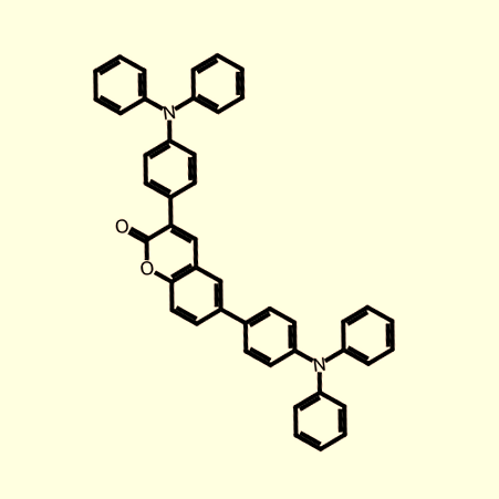 O=c1oc2ccc(-c3ccc(N(c4ccccc4)c4ccccc4)cc3)cc2cc1-c1ccc(N(c2ccccc2)c2ccccc2)cc1